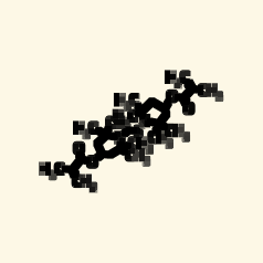 C=C(C)C(=O)OC1CC(C)(C)N(CSN2C(C)(C)CC(OC(=O)C(=C)C)CC2(C)C)C(C)(C)C1